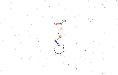 CCC(=O)OCON=C1CCCCC1